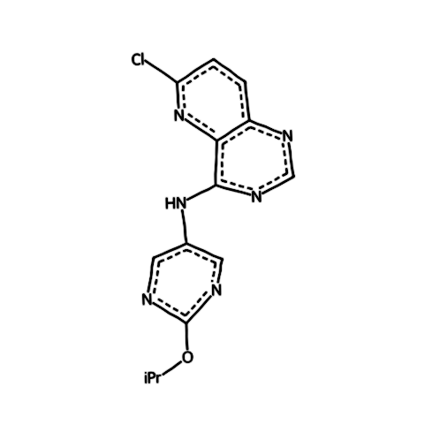 CC(C)Oc1ncc(Nc2ncnc3ccc(Cl)nc23)cn1